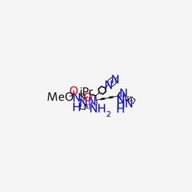 C=C(c1ccc(N2CCN(C)CC2)cc1)C(C)(C#CC#Cc1cnc([C@@H]2CCCN2)[nH]1)/N=C(\N)[C@@H]1CCCN1C(=O)[C@@H](NC(=O)OC)C(C)C